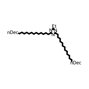 [CH2]Cc1nc(CCCCCCCCCCCCCCCCCCCCCCC)nc(CCCCCCCCCCCCCCCCCCCCCCC)n1